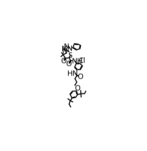 CCC(C)(C)c1ccc(OCCCC(=O)Nc2ccc(Cl)c(NC(=O)C(Sc3nnnn3-c3ccccc3)C(=O)C(C)(C)C)c2)c(C(C)(C)CC)c1